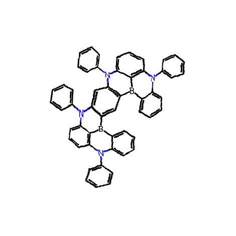 c1ccc(N2c3ccccc3B3c4cc5c(cc4N(c4ccccc4)c4cccc2c43)N(c2ccccc2)c2cccc3c2B5c2ccccc2N3c2ccccc2)cc1